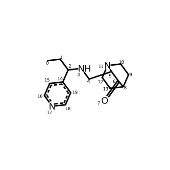 CCC(NCC1C(=O)C2CCN1CC2)c1ccncc1